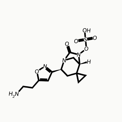 NCCc1cc([C@@H]2CC3(CC3)[C@@H]3CN2C(=O)N3OS(=O)(=O)O)no1